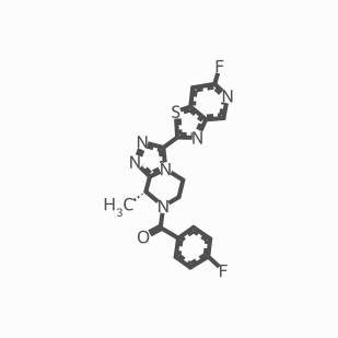 C[C@@H]1c2nnc(-c3nc4cnc(F)cc4s3)n2CCN1C(=O)c1ccc(F)cc1